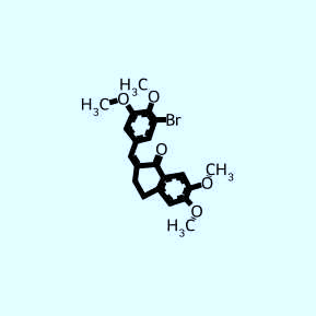 COc1cc2c(cc1OC)C(=O)C(=Cc1cc(Br)c(OC)c(OC)c1)CC2